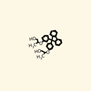 CC(CO)Oc1ccc(C2(c3cccc(OC(C)CO)c3)c3ccccc3-c3ccccc32)cc1